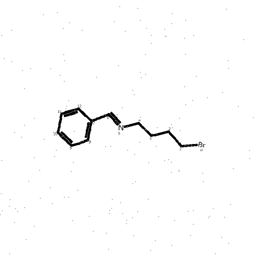 BrCCCCN=Cc1ccccc1